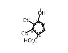 CCc1c(O)ccc(C(=O)O)c1Cl